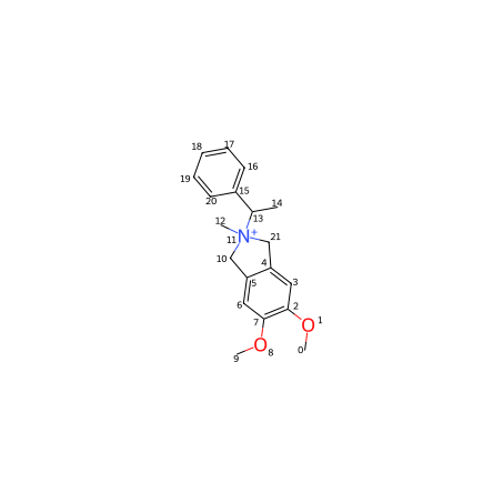 COc1cc2c(cc1OC)C[N+](C)(C(C)c1ccccc1)C2